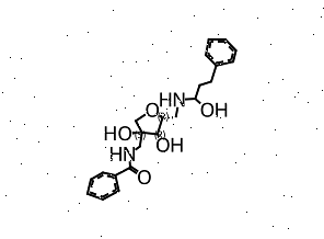 O=C(NC[C@]1(O)CO[C@H](CNC(O)CCc2ccccc2)[C@H]1O)c1ccccc1